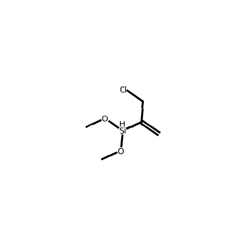 C=C(CCl)[SiH](OC)OC